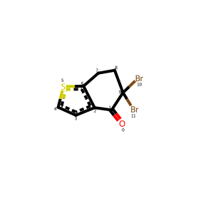 O=C1c2ccsc2CCC1(Br)Br